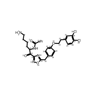 CC(C)C(=O)NC(CCCCN)C(=O)c1noc(Cc2ccc(OCCc3ccc(Cl)c(Cl)c3)cc2)n1